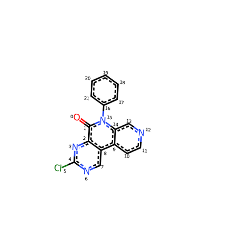 O=c1c2nc(Cl)ncc2c2ccncc2n1-c1ccccc1